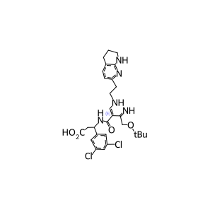 CC(C)(C)OCC(=N)/C(=C\NCCc1ccc2c(n1)NCCC2)C(=O)NC(CC(=O)O)c1cc(Cl)cc(Cl)c1